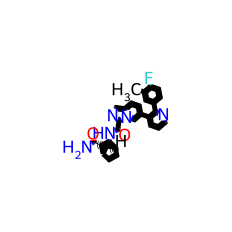 Cc1cc(-c2ncccc2-c2ccc3cnc(C(=O)NC4[C@@H](C(N)=O)C5C=C[C@H]4C5)n3c2)ccc1F